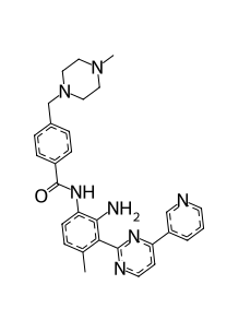 Cc1ccc(NC(=O)c2ccc(CN3CCN(C)CC3)cc2)c(N)c1-c1nccc(-c2cccnc2)n1